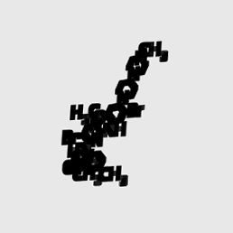 COc1cc(N2CCC(N3CCN(C)CC3)CC2)c(Br)cc1Nc1ncc(Br)c(Nc2ccc(C)cc2P(C)(C)=O)n1